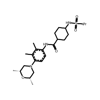 Cc1c(NC(=O)C2CCC(NS(=O)(=O)C(C)C)CC2)ccc(N2C[C@@H](C)O[C@@H](C)C2)c1C